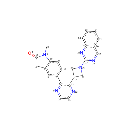 CN1C(=O)Cc2cc(-c3nccnc3C3CN(c4ncc5ccccc5n4)C3)ccc21